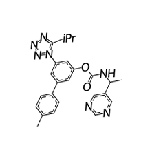 Cc1ccc(-c2cc(OC(=O)NC(C)c3cncnc3)cc(-n3nnnc3C(C)C)c2)cc1